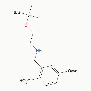 COc1ccc(C(=O)O)c(CNCCO[Si](C)(C)C(C)(C)C)c1